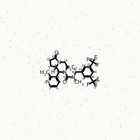 Cc1ncccc1C1[C@@H]2CCC(=O)N2CCN1C(=O)N(C)[C@H](C)c1cc(C(F)(F)F)cc(C(F)(F)F)c1